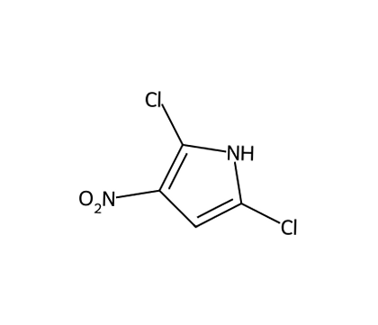 O=[N+]([O-])c1cc(Cl)[nH]c1Cl